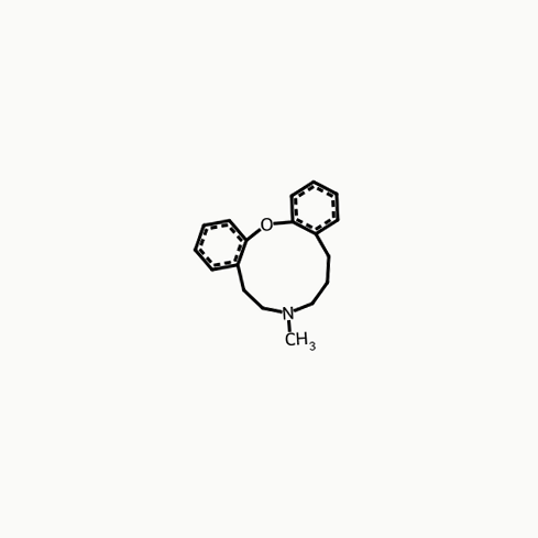 CN1CCCc2ccccc2Oc2ccccc2CC1